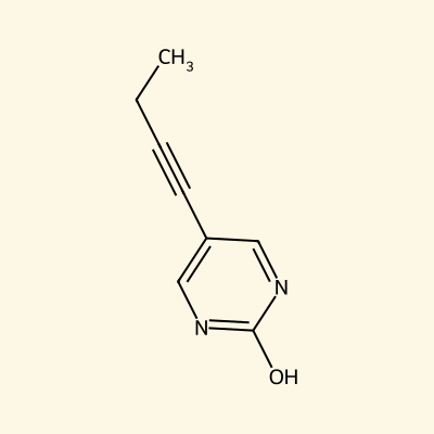 CCC#Cc1cnc(O)nc1